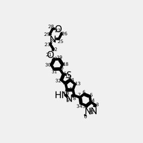 Cn1ncc2ccc(-c3n[nH]c4c3Cc3sc(-c5ccc(OCCN6CCOCC6)cc5)cc3-4)cc21